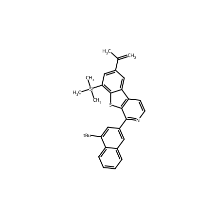 C=C(C)c1cc([Si](C)(C)C)c2sc3c(-c4cc(C(C)(C)C)c5ccccc5c4)nccc3c2c1